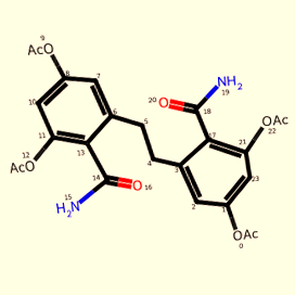 CC(=O)Oc1cc(CCc2cc(OC(C)=O)cc(OC(C)=O)c2C(N)=O)c(C(N)=O)c(OC(C)=O)c1